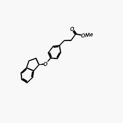 COC(=O)CCc1ccc(O[C@@H]2CCc3ccccc32)cc1